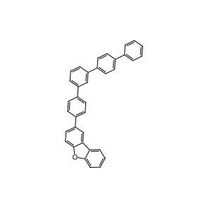 c1ccc(-c2ccc(-c3cccc(-c4ccc(-c5ccc6oc7ccccc7c6c5)cc4)c3)cc2)cc1